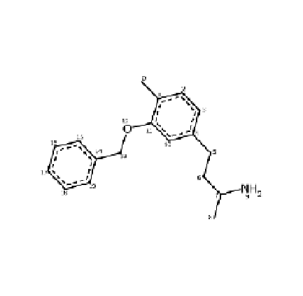 Cc1ccc(CCC(C)N)cc1OCc1ccccc1